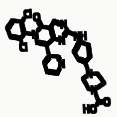 O=C(O)N1CCN(c2ccc(Nc3ncc4c(=O)n(-c5c(Cl)cccc5Cl)cc(-c5cccnc5)c4n3)cc2)CC1